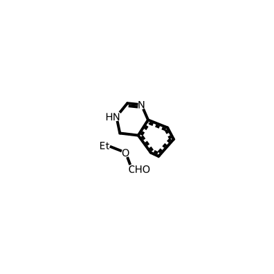 C1=Nc2ccccc2CN1.CCOC=O